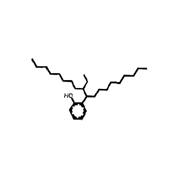 CCCCCCCCCC(c1ccccc1O)C(CC)CCCCCCCC